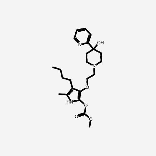 CCCCc1c(C)[nH]c(OC(=O)OC)c1OCCN1CCC(O)(c2ccccn2)CC1